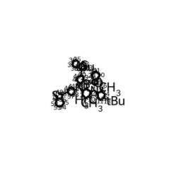 Cc1cc2c3c(c1)N(c1c(C)cc(C(C)(C)C)cc1C)c1oc4ccc(C(C)(C)C)cc4c1B3c1cc(-c3csc4ccccc34)ccc1N2c1ccc(-c2csc3ccccc23)cc1